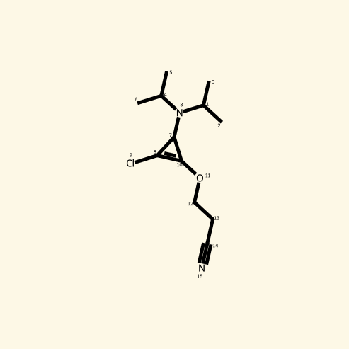 CC(C)N(C(C)C)C1C(Cl)=C1OCCC#N